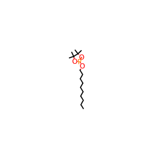 CCCCCCCCCCOP1OC(C)(C)C(C)(C)O1